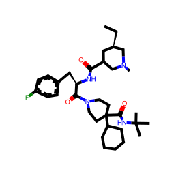 CC[C@@H]1CC(C(=O)N[C@H](Cc2ccc(F)cc2)C(=O)N2CCC(C(=O)NC(C)(C)C)(C3CCCCC3)CC2)CN(C)C1